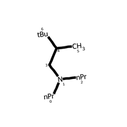 CCCN(CCC)CC(C)C(C)(C)C